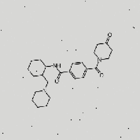 O=C1CCN(C(=O)c2ccc(C(=O)NC3CCCCC3CN3CCCCC3)cc2)CC1